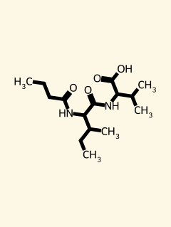 CCCC(=O)NC(C(=O)NC(C(=O)O)C(C)C)C(C)CC